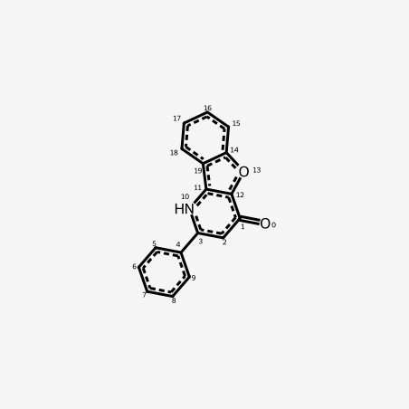 O=c1cc(-c2ccccc2)[nH]c2c1oc1ccccc12